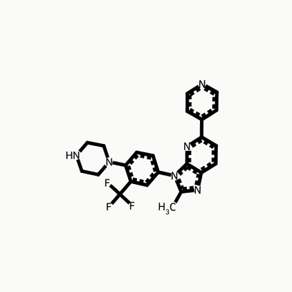 Cc1nc2ccc(-c3ccncc3)nc2n1-c1ccc(N2CCNCC2)c(C(F)(F)F)c1